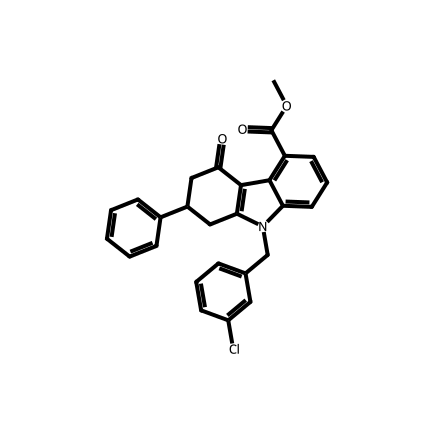 COC(=O)c1cccc2c1c1c(n2Cc2cccc(Cl)c2)CC(c2ccccc2)CC1=O